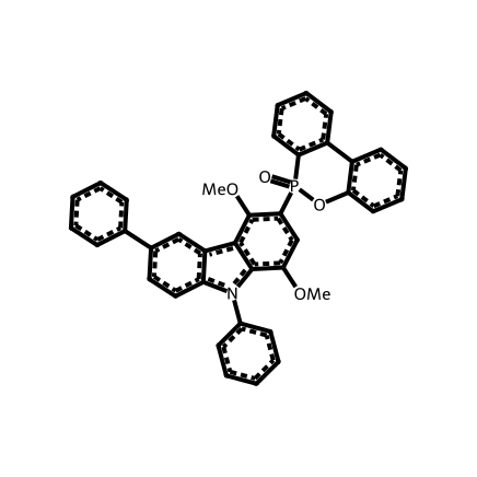 COc1c(P2(=O)Oc3ccccc3-c3ccccc32)cc(OC)c2c1c1cc(-c3ccccc3)ccc1n2-c1ccccc1